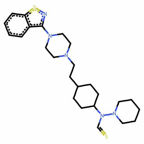 S=CN(C1CCC(CCN2CCN(c3nsc4ccccc34)CC2)CC1)N1CCCCC1